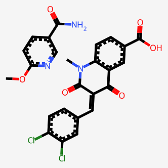 CN1C(=O)/C(=C\c2ccc(Cl)c(Cl)c2)C(=O)c2cc(C(=O)O)ccc21.COc1ccc(C(N)=O)cn1